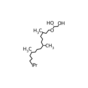 CC(C)CCC[C@H](C)CCC[C@H](C)CCCC(C)CCO[C@H](O)CO